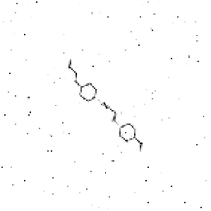 CCCC[C@H]1CC[C@H](C#CC=C[C@H]2CC[C@H](CC)CC2)CC1